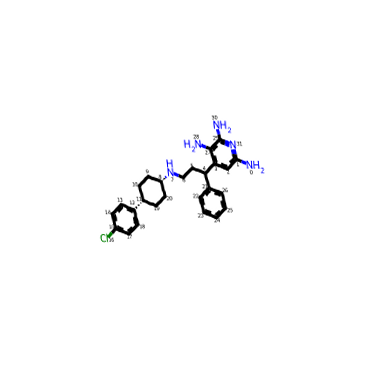 Nc1cc(C(CCN[C@H]2CC[C@@H](c3ccc(Cl)cc3)CC2)c2ccccc2)c(N)c(N)n1